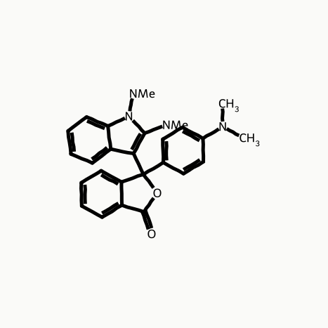 CNc1c(C2(c3ccc(N(C)C)cc3)OC(=O)c3ccccc32)c2ccccc2n1NC